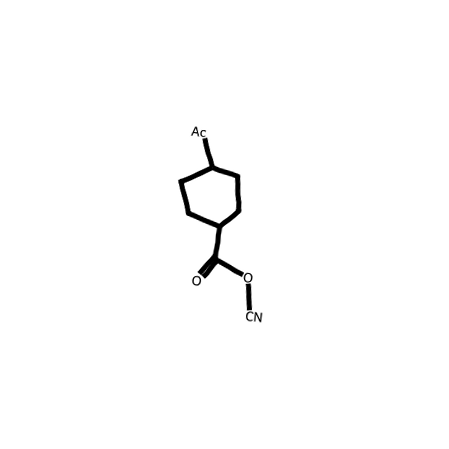 CC(=O)C1CCC(C(=O)OC#N)CC1